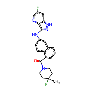 CC1(F)CCN(C(=O)c2cccc3cc(Nc4n[nH]c5cc(F)cnc45)ccc23)CC1